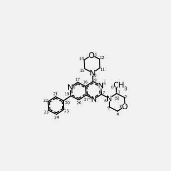 C[C@H]1COCCN1c1nc(N2CCOCC2)c2cnc(-c3ccccc3)cc2n1